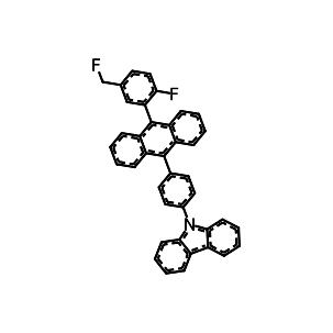 FCc1ccc(F)c(-c2c3ccccc3c(-c3ccc(-n4c5ccccc5c5ccccc54)cc3)c3ccccc23)c1